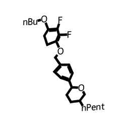 CCCCCC1CCC(c2ccc(COC3=C(F)C(F)=C(OCCCC)CC3)cc2)OC1